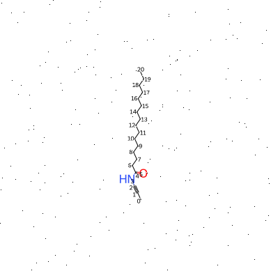 CC#CNC(=O)CCCCCCCCCCCCCCC